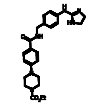 CCOC(=O)N1CCN(c2ccc(C(=O)NCc3ccc(NC4=NCCN4)cc3)cc2)CC1